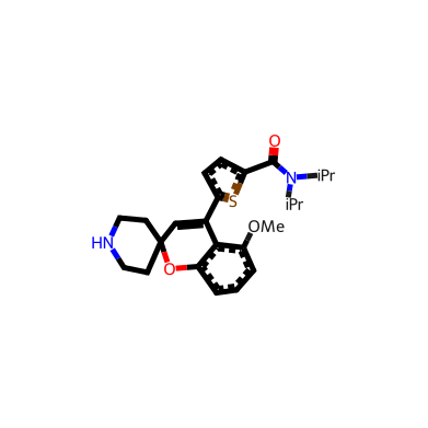 COc1cccc2c1C(c1ccc(C(=O)N(C(C)C)C(C)C)s1)=CC1(CCNCC1)O2